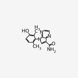 Cc1ccc(O)c(C)c1-n1cc(C(N)=O)c2nccnc21